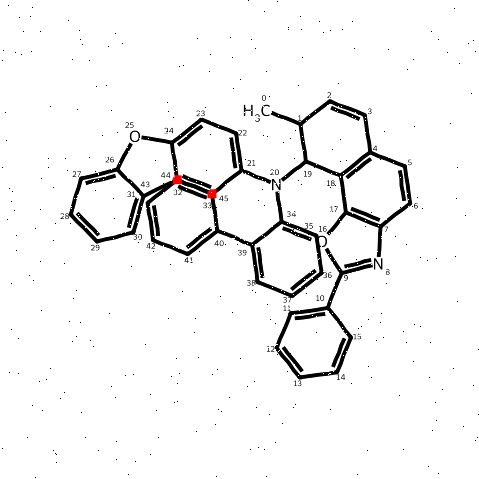 CC1C=Cc2ccc3nc(-c4ccccc4)oc3c2C1N(c1ccc2oc3ccccc3c2c1)c1ccccc1-c1ccccc1